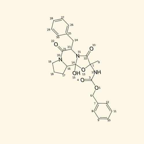 CC1(NC(=O)OCc2ccccc2)OC2(O)C3CCCN3C(=O)C(Cc3ccccc3)N2C1=O